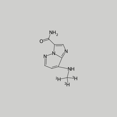 [2H]C([2H])([2H])Nc1ccnn2c(C(N)=O)cnc12